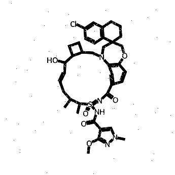 COc1nn(C)cc1C(=O)NS1(=O)=NC(=O)c2ccc3c(c2)N(CC2CCC2C(O)/C=C/CC(C)C1C)CC1(CCCc2cc(Cl)ccc21)CO3